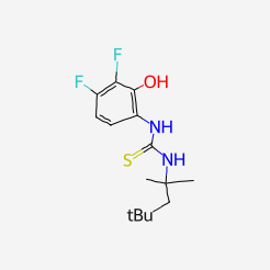 CC(C)(C)CC(C)(C)NC(=S)Nc1ccc(F)c(F)c1O